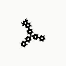 CC1(C)CC(C)(C)c2cc(-c3ccc(N(c4ccc(-c5ccccc5)cc4)c4ccc(-c5ccccc5)cc4)cc3)ccc21